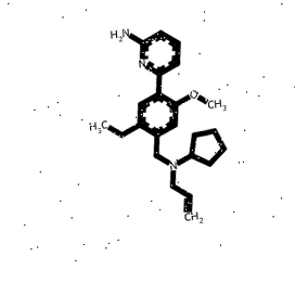 C=CCN(Cc1cc(OC)c(-c2cccc(N)n2)cc1CC)C1CCCC1